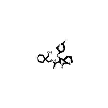 O=C(NCC1(CO)CCOCC1)c1[nH]c2ncccc2c1Sc1ccc(Cl)cc1